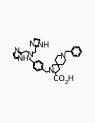 O=C(O)C1CC2(CCN(Cc3ccccc3)CC2)CN1Cc1ccc(CN(Cc2ncc[nH]2)Cc2ncc[nH]2)cc1